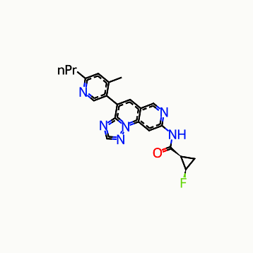 CCCc1cc(C)c(-c2cc3cnc(NC(=O)[C@H]4C[C@H]4F)cc3n3ncnc23)cn1